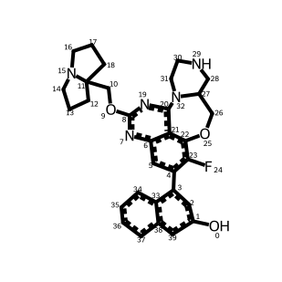 Oc1cc(-c2cc3nc(OCC45CCCN4CCC5)nc4c3c(c2F)OCC2CNCCN42)c2ccccc2c1